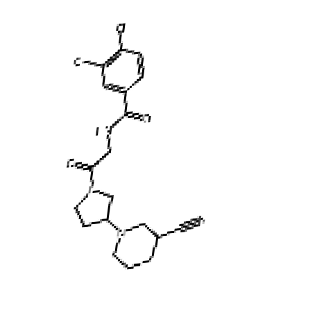 N#CC1CCCN(C2CCN(C(=O)CNC(=O)c3ccc(Cl)c(Cl)c3)C2)C1